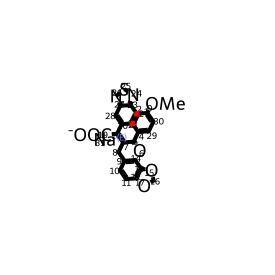 COc1ccc(C(=O)/C(Cc2ccc3c(c2)OCO3)=C(/C(=O)[O-])c2ccc3nsnc3c2)cc1.[Na+]